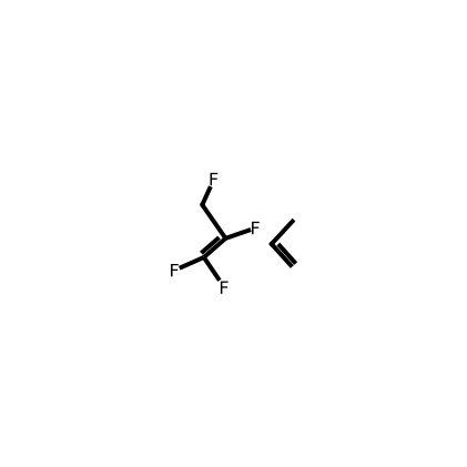 C=CC.FCC(F)=C(F)F